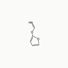 N=COc1ccco1